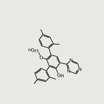 CCCCCCCCOc1c(-c2ccc(C)cc2C)cc(-c2ncncn2)c(O)c1-c1ccc(C)cc1C